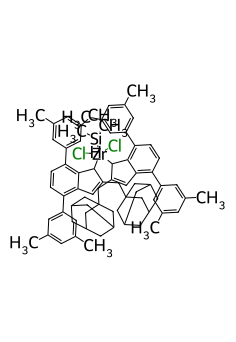 Cc1cc(C)cc(-c2ccc(-c3cc(C)cc(C)c3)c3c2C=C(CC24CC5CC(CC(C5)C2)C4)[CH]3[Zr]([Cl])([Cl])([CH]2C(CC34CC5CC(CC(C5)C3)C4)=Cc3c(-c4cc(C)cc(C)c4)ccc(-c4cc(C)cc(C)c4)c32)[SiH](C)C)c1